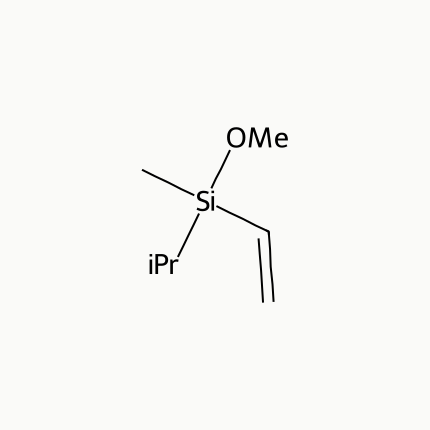 C=C[Si](C)(OC)C(C)C